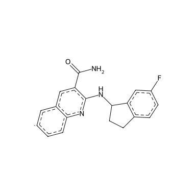 NC(=O)c1cc2c[c]ccc2nc1NC1CCc2ccc(F)cc21